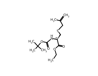 C=C(C)CSC[C@H](NC(=O)OC(C)(C)C)C(=O)OCC